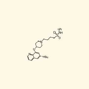 CCCCc1cc(OC2CCN(CCCCS(=O)(=O)NCCC)CC2)c2ncccc2c1